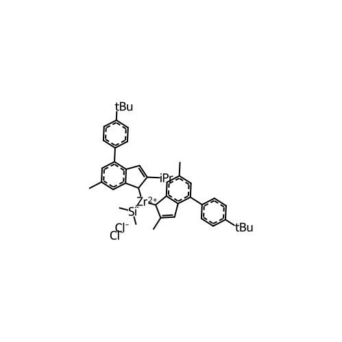 CC1=Cc2c(-c3ccc(C(C)(C)C)cc3)cc(C)cc2[CH]1[Zr+2]([CH]1C(C(C)C)=Cc2c(-c3ccc(C(C)(C)C)cc3)cc(C)cc21)=[Si](C)C.[Cl-].[Cl-]